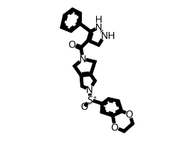 O=C(C1=C(c2ccccc2)NNC1)N1CC2=C(C1)CN([S+]([O-])c1ccc3c(c1)OCCO3)C2